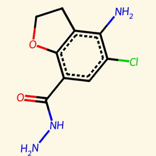 NNC(=O)c1cc(Cl)c(N)c2c1OCC2